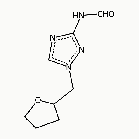 O=CNc1ncn(CC2CCCO2)n1